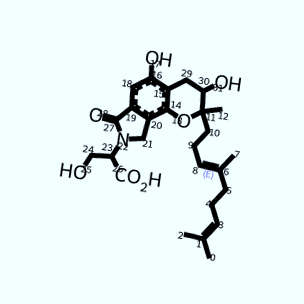 CC(C)=CCC/C(C)=C/CCC1(C)Oc2c(c(O)cc3c2CN(C(CO)C(=O)O)C3=O)CC1O